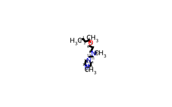 CCCC(C)OCCCN(C)CCN1CCN(C)CC1